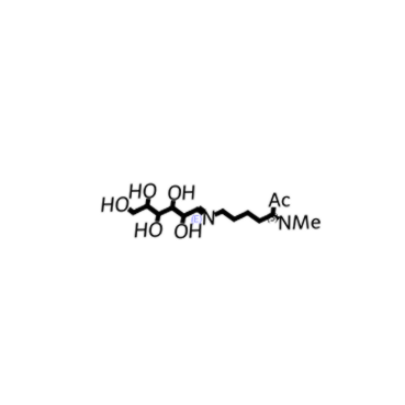 CN[C@@H](CCCC/N=C/C(O)C(O)C(O)C(O)CO)C(C)=O